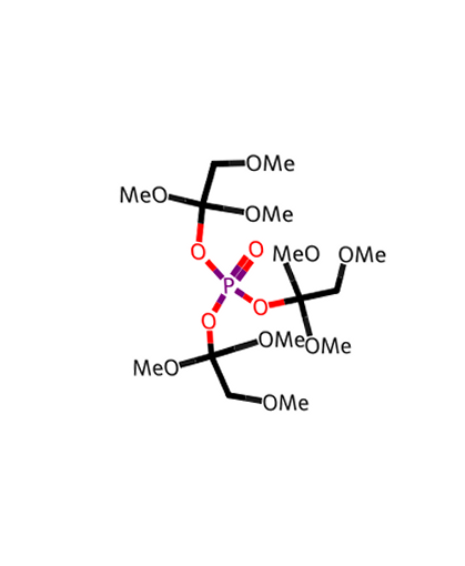 COCC(OC)(OC)OP(=O)(OC(COC)(OC)OC)OC(COC)(OC)OC